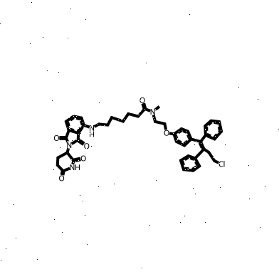 CN(CCOc1ccc(/C(=C(/CCCl)c2ccccc2)c2ccccc2)cc1)C(=O)CCCCCCNc1cccc2c1C(=O)N(C1CCC(=O)NC1=O)C2=O